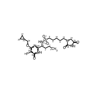 CCCC(NS(=O)(=O)CCCCCN1CC(=O)NC1=O)c1nc(OCC2CC2)c(F)c(=O)[nH]1